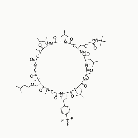 CC[C@H](C)[C@@H]1NC(=O)[C@H](CC(C)C)N(C)C(=O)C[C@@H](COCC(=O)NC(C)(C)C)NC(=O)[C@H](CC(C)C)N(C)C(=O)C(C)(C)NC(=O)[C@H](CC(C)C)N(C)C(=O)[C@H](CCc2ccc(C(F)(F)F)cc2)NC(=O)CN(C)C(=O)[C@H](COCCC(C)C)N(C)C(=O)CN(C)C(=O)CN(C)C1=O